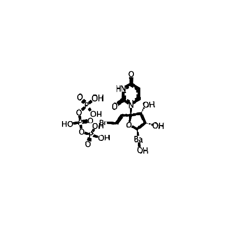 O=P(O)(O)OP(=O)(O)OP(=O)(O)O.O=c1ccn([C@]2(C=CBr)O[C@H]([Ba][OH])[C@@H](O)[C@H]2O)c(=O)[nH]1